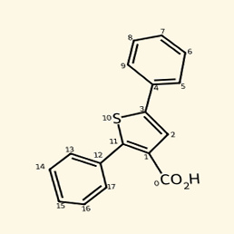 O=C(O)c1cc(-c2ccccc2)sc1-c1ccccc1